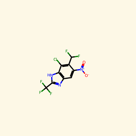 O=[N+]([O-])c1cc2nc(C(F)(F)F)[nH]c2c(Cl)c1C(F)F